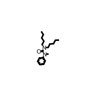 CCCCCN(CCCCC)C(=O)N(C)c1ccccc1